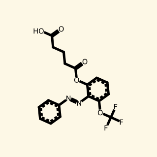 O=C(O)CCCC(=O)Oc1cccc(OC(F)(F)F)c1N=Nc1ccccc1